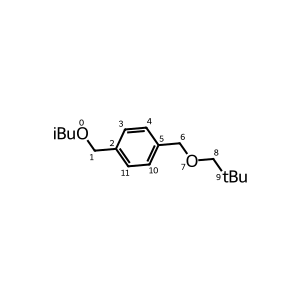 CC(C)COCc1ccc(COCC(C)(C)C)cc1